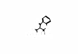 CCC1(C)Sc2ccccc2C(=O)C1C(=O)C(=O)O